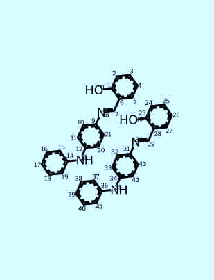 Oc1ccccc1C=Nc1ccc(Nc2ccccc2)cc1.Oc1ccccc1C=Nc1ccc(Nc2ccccc2)cc1